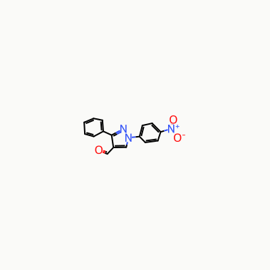 O=Cc1cn(-c2ccc([N+](=O)[O-])cc2)nc1-c1ccccc1